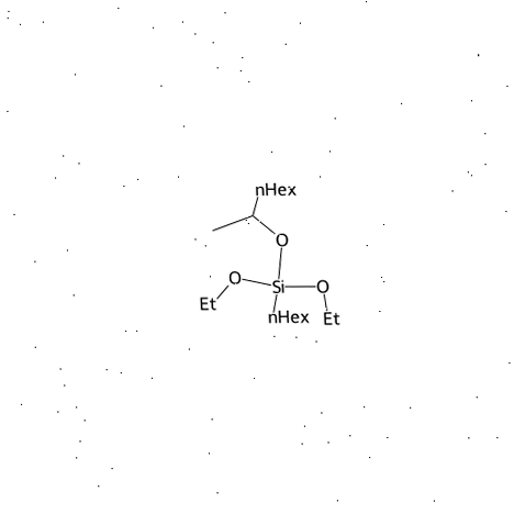 CCCCCCC(C)O[Si](CCCCCC)(OCC)OCC